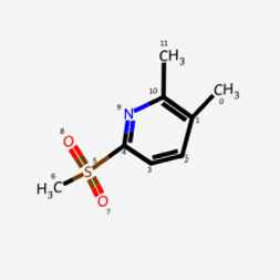 Cc1[c]cc(S(C)(=O)=O)nc1C